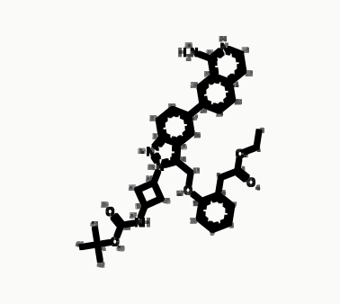 CCOC(=O)Cc1ccccc1OCc1c2cc(-c3ccc4ccnc(N)c4c3)ccc2nn1C1CC(NC(=O)OC(C)(C)C)C1